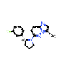 CC(=O)c1cnc2ccc(N3CCC[C@@H]3c3cccc(F)c3)nn12